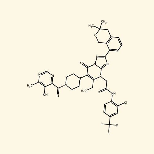 CCc1c(N2CCN(C(=O)c3ncnc(C)c3O)CC2)c(=O)n2nc(-c3cccc4c3COC(C)(C)C4)nc2n1CC(=O)Nc1ccc(C(F)(F)F)cc1Cl